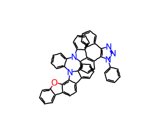 c1ccc(-c2nnn(-c3ccccc3)c2-c2cccc3c2c2ccccc2n3-c2ccccc2-n2c3ccccc3c3ccc4c5ccccc5oc4c32)cc1